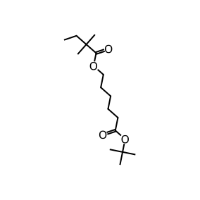 CCC(C)(C)C(=O)OCCCCCC(=O)OC(C)(C)C